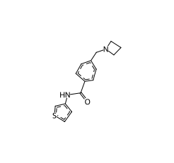 O=C(Nc1ccsc1)c1ccc(CN2CCC2)cc1